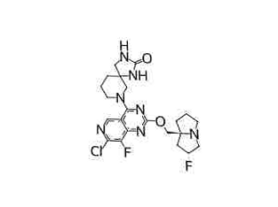 O=C1NCC2(CCCN(c3nc(OC[C@@]45CCCN4C[C@H](F)C5)nc4c(F)c(Cl)ncc34)C2)N1